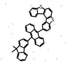 CC1(C)c2ccccc2-c2cc(-c3c4ccccc4c(-c4ccc5sc6ccc7sc8ccccc8c7c6c5c4)c4ccccc34)ccc21